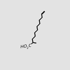 C=CCCCCCCCCC(C)C(=O)O